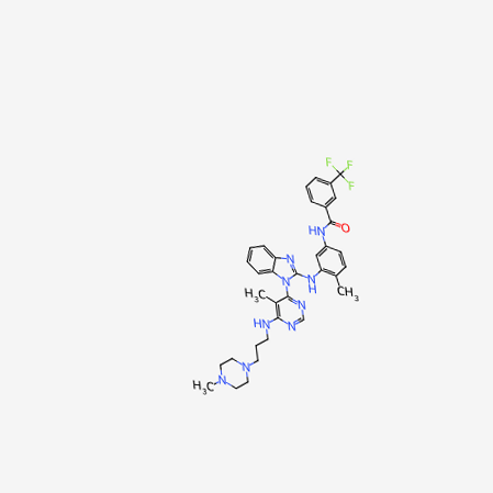 Cc1ccc(NC(=O)c2cccc(C(F)(F)F)c2)cc1Nc1nc2ccccc2n1-c1ncnc(NCCCN2CCN(C)CC2)c1C